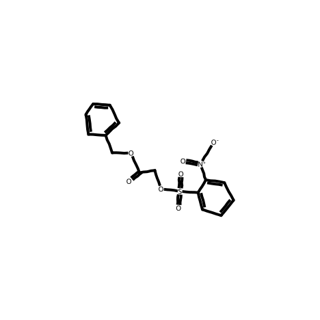 O=C(COS(=O)(=O)c1ccccc1[N+](=O)[O-])OCc1ccccc1